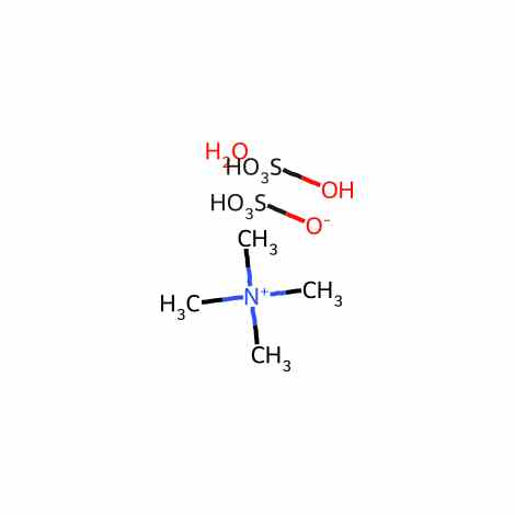 C[N+](C)(C)C.O.O=S(=O)(O)O.O=S(=O)([O-])O